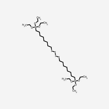 CCO[Si](CCCCCCCCSSSSCCCCCCCC[Si](OCC)(OCC)OCC)(OCC)OCC